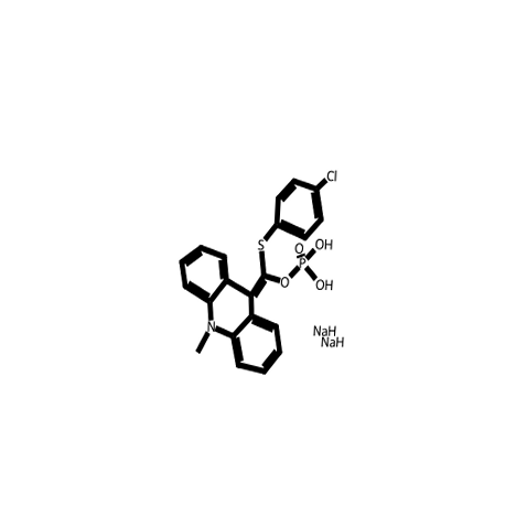 CN1c2ccccc2C(=C(OP(=O)(O)O)Sc2ccc(Cl)cc2)c2ccccc21.[NaH].[NaH]